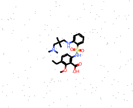 CCc1ccc(NS(=O)(=O)c2ccccc2NCC(C)(C)CN(C)C)c(C(=O)O)c1OC